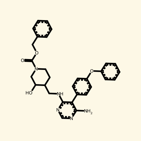 Nc1ncnc(NCC2CCN(C(=O)OCc3ccccc3)CC2O)c1-c1ccc(Oc2ccccc2)cc1